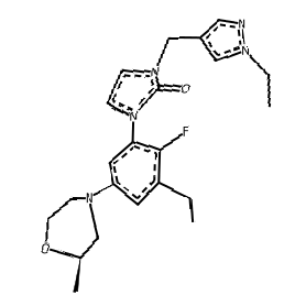 CCc1cc(N2CCO[C@H](C)C2)cc(-n2ccn(Cc3cnn(CC)c3)c2=O)c1F